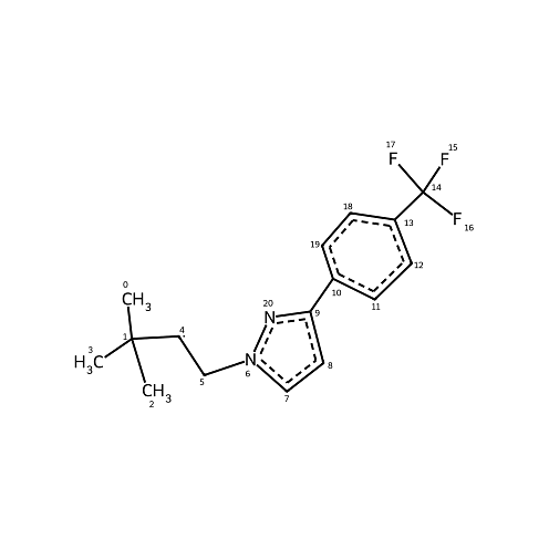 CC(C)(C)[CH]Cn1ccc(-c2ccc(C(F)(F)F)cc2)n1